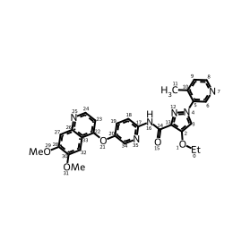 CCOc1cn(-c2cnccc2C)nc1C(=O)Nc1ccc(Oc2ccnc3cc(OC)c(OC)cc23)cn1